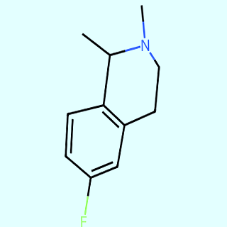 CC1c2ccc(F)cc2CCN1C